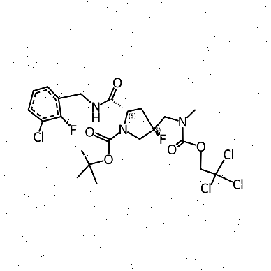 CN(C[C@@]1(F)C[C@@H](C(=O)NCc2cccc(Cl)c2F)N(C(=O)OC(C)(C)C)C1)C(=O)OCC(Cl)(Cl)Cl